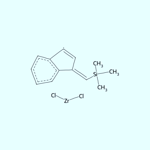 C[Si](C)(C)C=C1C=[C]c2ccccc21.[Cl][Zr][Cl]